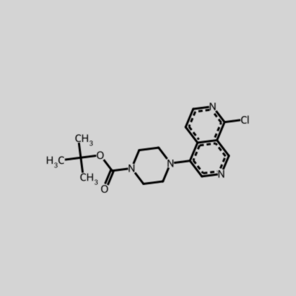 CC(C)(C)OC(=O)N1CCN(c2cncc3c(Cl)nccc23)CC1